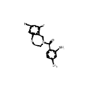 Nc1cc(C(F)(F)F)ccc1C(=O)N1CCOc2cc(F)cc(F)c2C1